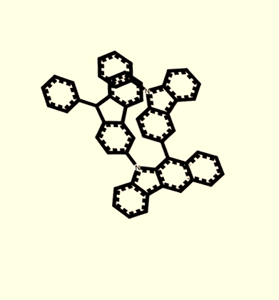 c1ccc(C2c3ccccc3-c3cc(-n4c5ccccc5c5cc6ccccc6c(-c6ccc7c(c6)c6ccccc6n7-c6ccccc6)c54)ccc32)cc1